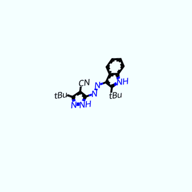 CC(C)(C)c1n[nH]c(/N=N/c2c(C(C)(C)C)[nH]c3ccccc23)c1C#N